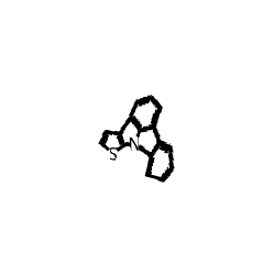 c1ccc2c(c1)c1cccc3c4ccsc4n2c13